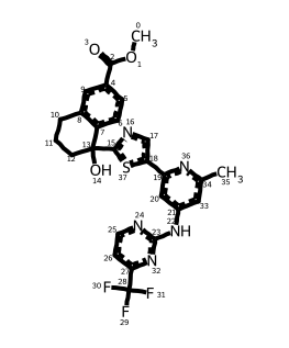 COC(=O)c1ccc2c(c1)CCCC2(O)c1ncc(-c2cc(Nc3nccc(C(F)(F)F)n3)cc(C)n2)s1